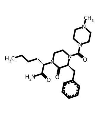 CCCC[C@@H](C(N)=O)N1CCN(C(=O)N2CCN(C)CC2)[C@@H](Cc2ccccc2)C1=O